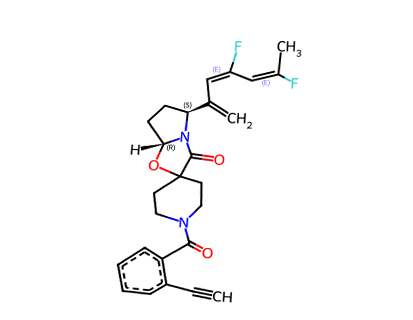 C#Cc1ccccc1C(=O)N1CCC2(CC1)O[C@@H]1CC[C@@H](C(=C)/C=C(F)\C=C(/C)F)N1C2=O